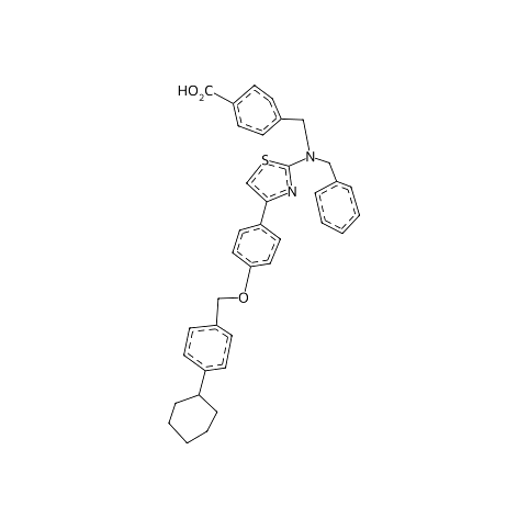 O=C(O)c1ccc(CN(Cc2ccccc2)c2nc(-c3ccc(OCc4ccc(C5CCCCC5)cc4)cc3)cs2)cc1